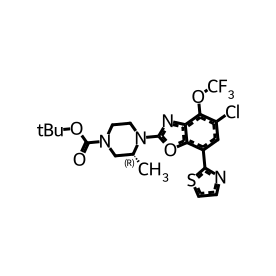 C[C@@H]1CN(C(=O)OC(C)(C)C)CCN1c1nc2c(OC(F)(F)F)c(Cl)cc(-c3nccs3)c2o1